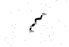 CC(C)(C)C=CN=NC(C)(C)C